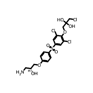 NC[C@@H](O)COc1ccc(S(=O)(=O)c2cc(Cl)c(OCC(O)(O)CCl)c(Cl)c2)cc1